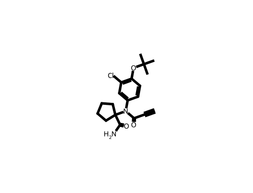 C#CC(=O)N(c1ccc(OC(C)(C)C)c(Cl)c1)C1(C(N)=O)CCCC1